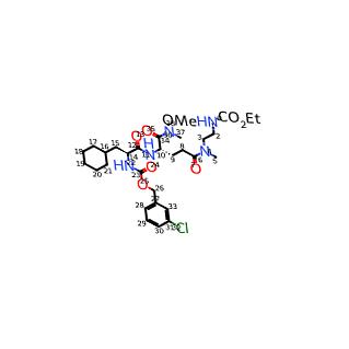 CCOC(=O)NCCN(C)C(=O)CC[C@H](NC(=O)[C@H](CC1CCCCC1)NC(=O)OCc1cccc(Cl)c1)C(=O)N(C)OC